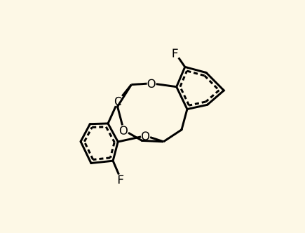 Fc1cccc2c1OC1COCC(C2)Oc2c(F)cccc2C1